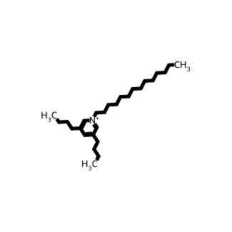 CCCCCCCCCCCCCC[n+]1cc(CCCC)cc(CCCC)c1